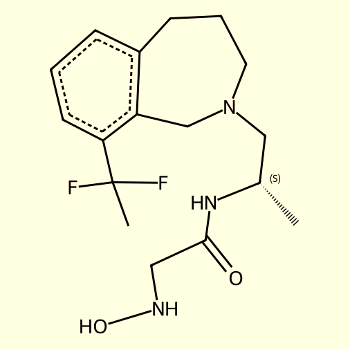 C[C@@H](CN1CCCc2cccc(C(C)(F)F)c2C1)NC(=O)CNO